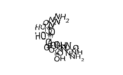 Nc1ncn([C@@H]2O[C@H](COP(=O)(O)OC3C(O)[C@H](n4cnc5c(=O)[nH]c(N)nc54)O[C@@H]3CO)C(O)C2O)c(=O)n1